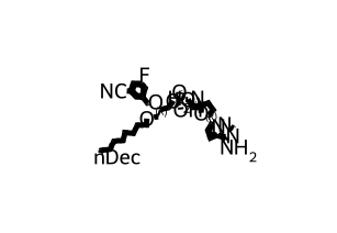 CCCCCCCCCCCCCCCCCCOC[C@H](COP(=O)(O)OC[C@]1(N)CC[C@H](c2ccc3c(N)ncnn23)O1)OCc1cc(F)cc(C#N)c1